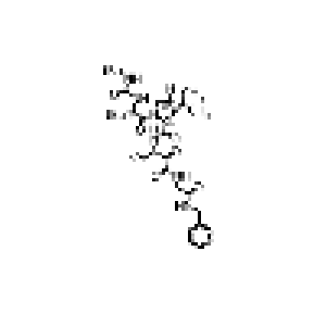 CCCC(NC(=O)[C@@H]1C2[C@H](CN1C(=O)[C@@H](NC(=O)NC(C)(C)C)C(C)(C)C)C2(C)C)C(=O)C(=O)NCC(=O)NCc1ccccc1